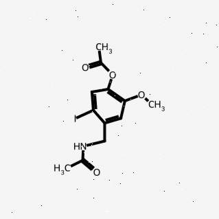 COc1cc(CNC(C)=O)c(I)cc1OC(C)=O